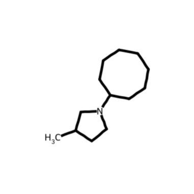 CC1CCN(C2CCCCCCC2)C1